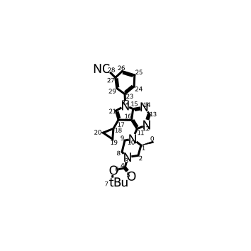 C[C@H]1CN(C(=O)OC(C)(C)C)CCN1c1ncnc2c1c(C1CC1)cn2-c1cccc(C#N)c1